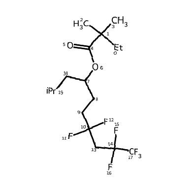 CCC(C)(C)C(=O)OC(CCC(F)(F)CC(F)(F)C(F)(F)F)CC(C)C